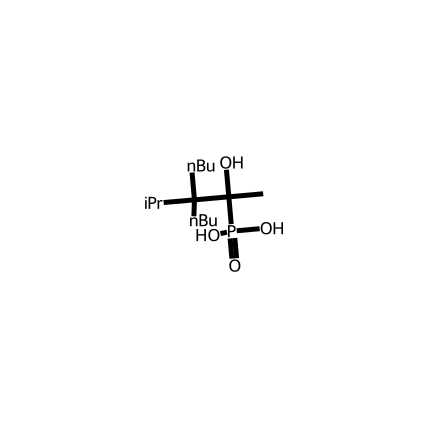 CCCCC(CCCC)(C(C)C)C(C)(O)P(=O)(O)O